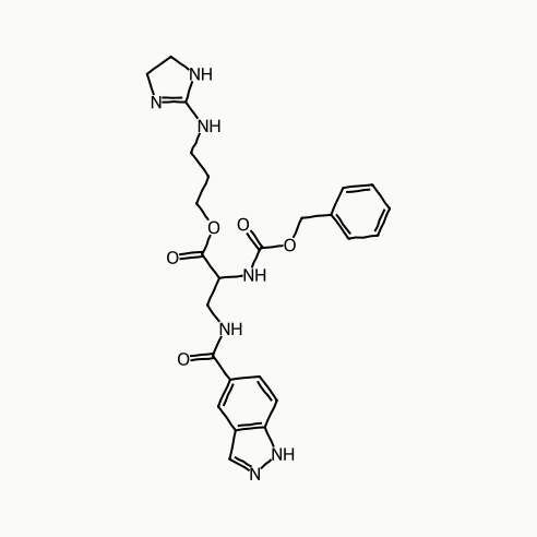 O=C(NC(CNC(=O)c1ccc2[nH]ncc2c1)C(=O)OCCCNC1=NCCN1)OCc1ccccc1